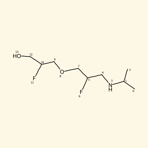 CC(C)NCC(F)COCC(F)CO